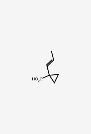 CC=CC1(C(=O)O)CC1